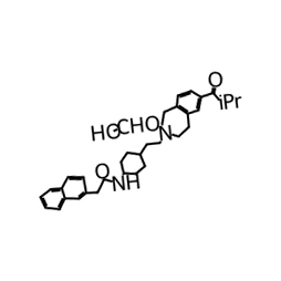 CC(C)C(=O)c1ccc2c(c1)CCN(CCC1CCC(NC(=O)Cc3ccc4ccccc4c3)CC1)CC2.O=CO